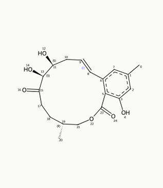 Cc1cc(O)c2c(c1)/C=C/C[C@H](O)[C@H](O)C(=O)CC[C@@H](C)COC2=O